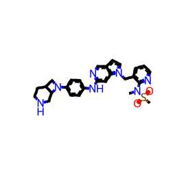 CN(c1ncccc1Cn1ccc2cnc(Nc3ccc(N4CC5CCNCC54)cc3)cc21)S(C)(=O)=O